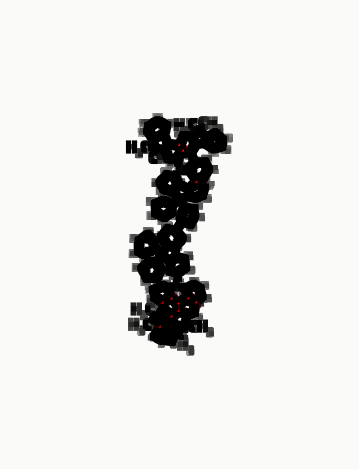 CC1(C)c2ccccc2-c2cc(-c3ccccc3N(c3ccc4c(c3)C(c3ccccc3)(c3ccccc3)c3ccc(-c5cccc(C6(c7ccccc7)c7ccccc7-c7c(N(c8ccc9c(c8)C(C)(C)c8ccccc8-9)c8ccccc8-c8cccc9c8-c8ccccc8C9(C)C)cccc76)c5)cc3-4)c3ccccc3-c3cccc4c3-c3ccccc3C4(C)C)ccc21